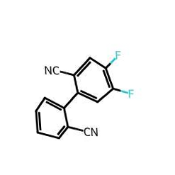 N#Cc1ccccc1-c1cc(F)c(F)cc1C#N